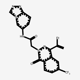 C=C(CC)c1nn(CC(=O)Nc2ccc3nncn3c2)c(=O)c2ccc(C(F)(F)F)cc12